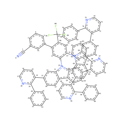 N#Cc1cccc(-c2cc(-n3c4cc(-c5cccnc5-c5ccccc5)ccc4c4ccc(-c5cccnc5-c5ccccc5)cc43)c(-n3c4cc(-c5cccnc5-c5ccccc5)ccc4c4ccc(-c5cccnc5-c5ccccc5)cc43)cc2C(F)(F)F)c1